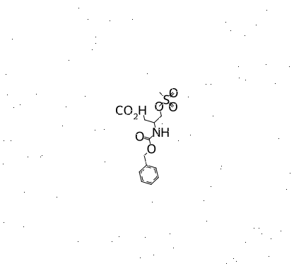 CS(=O)(=O)OCC(CC(=O)O)NC(=O)OCc1ccccc1